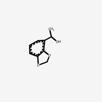 CC(O)c1cccc2c1OCO2